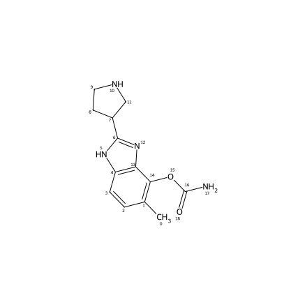 Cc1ccc2[nH]c(C3CCNC3)nc2c1OC(N)=O